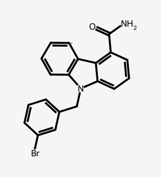 NC(=O)c1cccc2c1c1[c]cccc1n2Cc1cccc(Br)c1